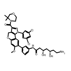 COc1cc2c(cc1-c1cccc(NC(=O)C[C@H](O)C[C@H](O)CCN)c1)-c1c(c(C(=O)N3CCOCC3(C)C)nn1-c1cc(Cl)cc(Cl)c1)CO2